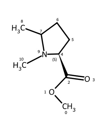 COC(=O)[C@@H]1CCC(C)N1C